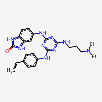 C=Cc1ccc(Nc2nc(NCCCN(CC)CC)nc(Nc3ccc4[nH]c(=O)[nH]c4c3)n2)cc1